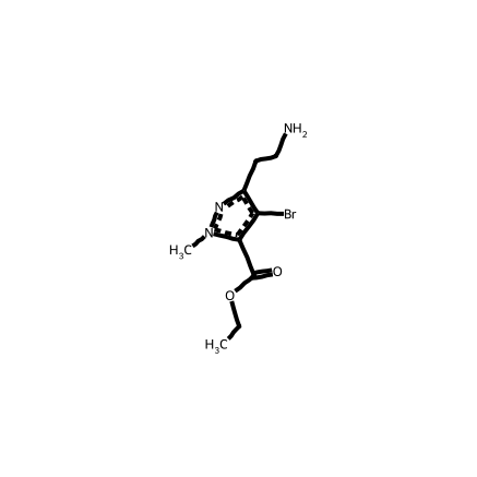 CCOC(=O)c1c(Br)c(CCN)nn1C